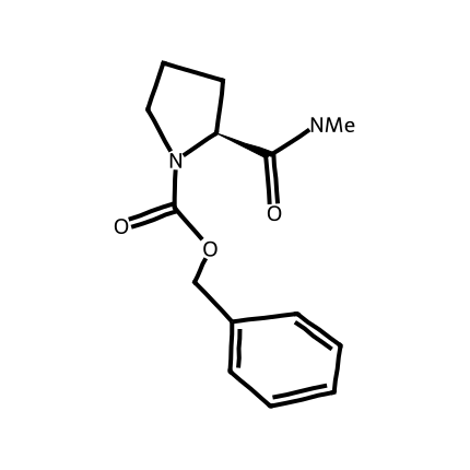 CNC(=O)[C@@H]1CCCN1C(=O)OCc1ccccc1